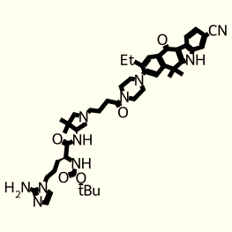 CCc1cc2c(cc1N1CCN(C(=O)CCCN3C[C@H](NC(=O)[C@H](CCCn4ccnc4N)NC(=O)OC(C)(C)C)C(C)(C)C3)CC1)C(C)(C)c1[nH]c3cc(C#N)ccc3c1C2=O